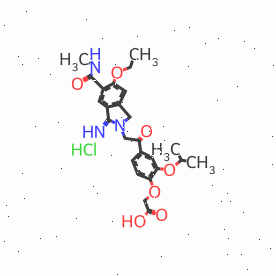 CCOc1cc2c(cc1C(=O)NC)C(=N)N(CC(=O)c1ccc(OCC(=O)O)c(OC(C)C)c1)C2.Cl